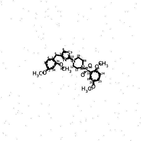 COc1ccc(Cc2csc(N3CCN(S(=O)(=O)c4cc(OC)ccc4OC)CC3)n2)c(OC)c1